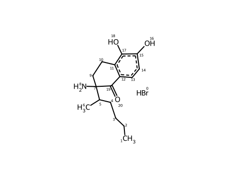 Br.CCCCC(C)C1(N)CCc2c(ccc(O)c2O)C1=O